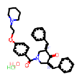 Cl.O.O=C1/C(=C\c2ccccc2)CN(C(=O)c2ccc(OCCN3CCCCC3)cc2)C/C1=C\c1ccccc1